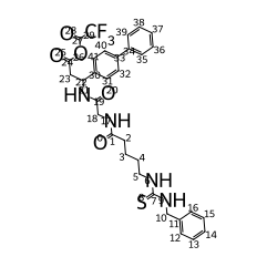 O=C(CCCCNC(=S)NCc1ccccc1)NCC(=O)NC(CC(=O)OC(=O)C(F)(F)F)c1ccc(-c2ccccc2)cc1